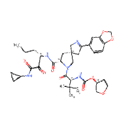 CCC[C@H](NC(=O)[C@@H]1C[C@@]2(CN=C(c3ccc4c(c3)OCO4)C2)CN1C(=O)[C@@H](NC(=O)O[C@H]1CCOC1)C(C)(C)C)C(=O)C(=O)NC1CC1